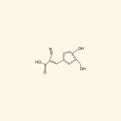 N#C/C(=C\c1ccc(O)c(CO)c1)C(=O)O